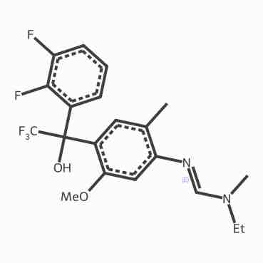 CCN(C)/C=N/c1cc(OC)c(C(O)(c2cccc(F)c2F)C(F)(F)F)cc1C